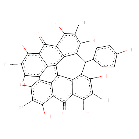 CCc1c(O)c2c(=O)c3c(O)c(C)c(O)c4c3c3c2c(c1O)c1c(O)c(CC)c(O)c2c(=O)c5c(O)c(C)c(O)c(c5c3c21)C4c1ccc(O)cc1